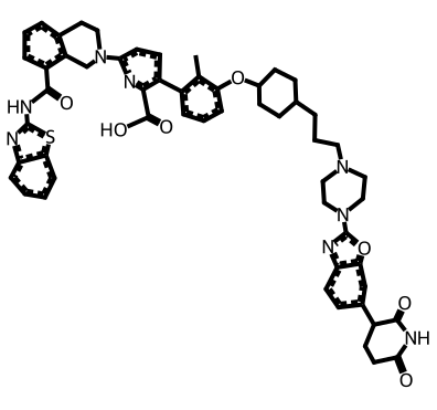 Cc1c(OC2CCC(CCCN3CCN(c4nc5ccc(C6CCC(=O)NC6=O)cc5o4)CC3)CC2)cccc1-c1ccc(N2CCc3cccc(C(=O)Nc4nc5ccccc5s4)c3C2)nc1C(=O)O